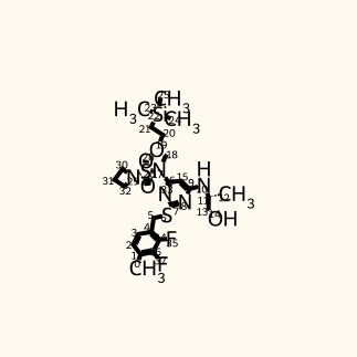 Cc1ccc(CSc2nc(N[C@H](C)CO)cc(N(COCC[Si](C)(C)C)S(=O)(=O)N3CCC3)n2)c(F)c1F